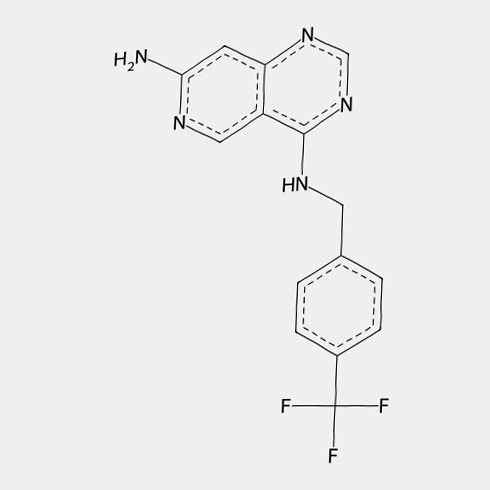 Nc1cc2ncnc(NCc3ccc(C(F)(F)F)cc3)c2cn1